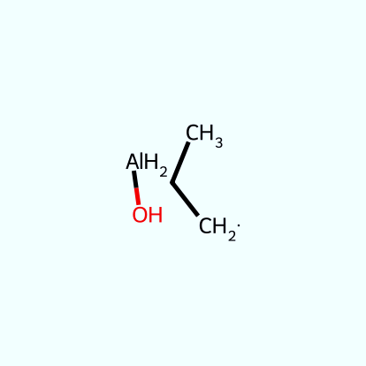 [CH2]CC.[OH][AlH2]